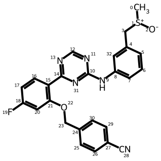 C[S+]([O-])Cc1cccc(Nc2ncnc(-c3ccc(F)cc3OCc3ccc(C#N)cc3)n2)c1